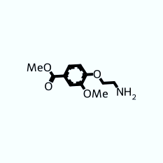 COC(=O)c1ccc(OCCN)c(OC)c1